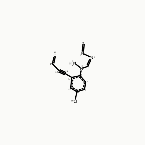 C=N/N=C\N(N)c1ccc(Cl)cc1C#CC=O